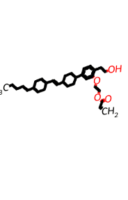 C=CC(=O)OCCOc1cc(C2CCC(/C=C/C3CCC(CCCCC)CC3)CC2)ccc1CCO